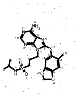 CC(C)NS(=O)(=O)CCCn1c(Sc2cc3c(cc2I)OCO3)nc2c(N)ncnc21